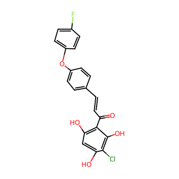 O=C(C=Cc1ccc(Oc2ccc(F)cc2)cc1)c1c(O)cc(O)c(Cl)c1O